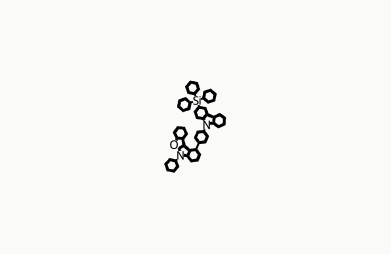 c1ccc(-n2c3cccc(-c4ccc(-n5c6ccccc6c6cc([Si](c7ccccc7)(c7ccccc7)c7ccccc7)ccc65)cc4)c3c3c4ccccc4oc32)cc1